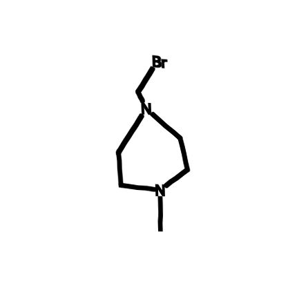 CN1CCN(CBr)CC1